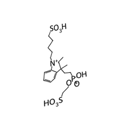 CC1=[N+](CCCCCS(=O)(=O)O)c2ccccc2C1(C)CCP(=O)(O)OCCS(=O)(=O)O